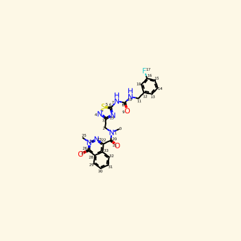 CN(Cc1nsc(NC(=O)NCc2cccc(F)c2)n1)C(=O)c1nn(C)c(=O)c2ccccc12